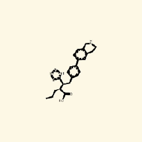 CCC[C@H](C(=O)O)[C@H](Cc1ccc(-c2ccc3c(c2)CCNC3)cc1)c1nnn[nH]1